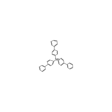 c1ccc(-c2ccc([SiH](c3ccc(-c4ccccc4)cc3)c3ccc(-c4ccccc4)cc3)cc2)cc1